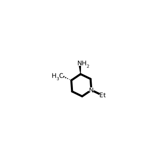 CCN1CC[C@H](C)[C@@H](N)C1